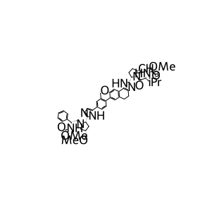 COC[C@H]1C[C@@H](c2ncc(-c3ccc4c(c3)COc3cc5c(cc3-4)CCc3nc([C@@H]4CC[C@H](C)N4C(=O)[C@@H](NC(=O)OC)C(C)C)[nH]c3-5)[nH]2)N(C[C@H](NC(=O)OC)c2ccccc2)C1